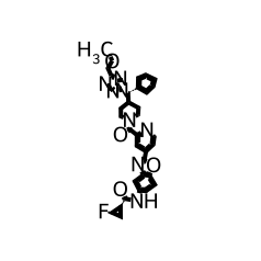 COCc1nnn([C@H](c2ccccc2)C2CCN(C(=O)c3cc(-c4nc5cc(NC(=O)[C@@H]6C[C@@H]6F)ccc5o4)ccn3)CC2)n1